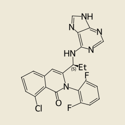 CC[C@H](Nc1ncnc2[nH]cnc12)c1cc2cccc(Cl)c2c(=O)n1-c1c(F)cccc1F